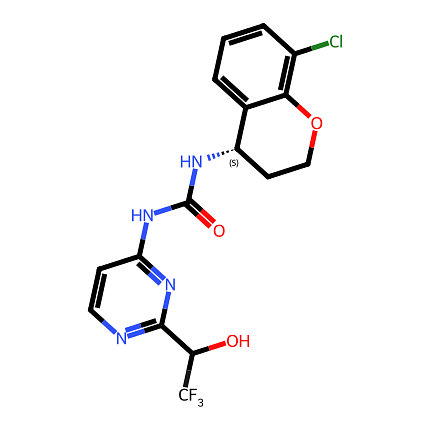 O=C(Nc1ccnc(C(O)C(F)(F)F)n1)N[C@H]1CCOc2c(Cl)cccc21